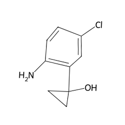 Nc1ccc(Cl)cc1C1(O)CC1